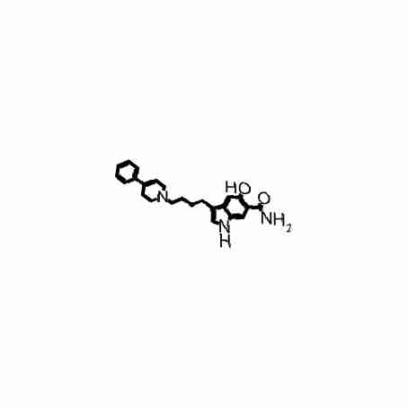 NC(=O)c1cc2[nH]cc(CCCCN3CC=C(c4ccccc4)CC3)c2cc1O